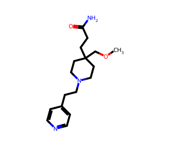 COCC1(CCC(N)=O)CCN(CCc2ccncc2)CC1